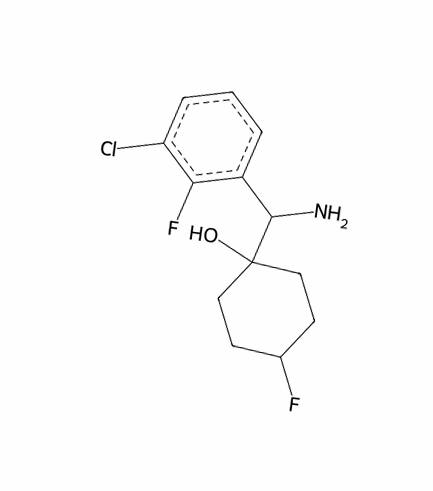 NC(c1cccc(Cl)c1F)C1(O)CCC(F)CC1